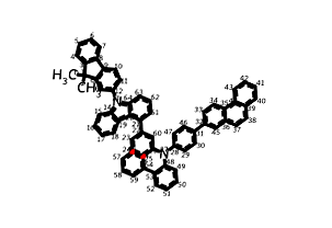 CC1(C)c2ccccc2-c2ccc(-n3c4ccccc4c4c(-c5cccc(N(c6ccc(-c7ccc8c(ccc9ccccc98)c7)cc6)c6ccccc6-c6ccccc6)c5)cccc43)cc21